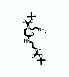 CC(C)(C)OC(=O)NCCNC(=O)/C=C\N(CCN)C(=O)OC(C)(C)C